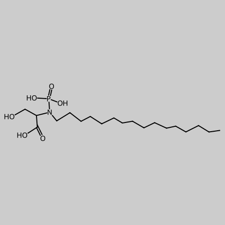 CCCCCCCCCCCCCCCCN(C(CO)C(=O)O)P(=O)(O)O